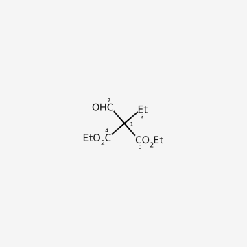 CCOC(=O)C(C=O)(CC)C(=O)OCC